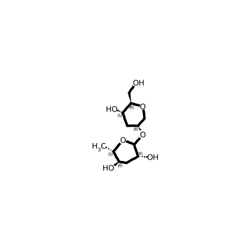 C[C@@H]1OC(O[C@H]2CO[C@H](CO)[C@@H](O)C2)[C@H](O)C[C@H]1O